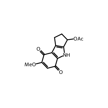 COC1=CC(=O)c2[nH]c3c(c2C1=O)CCC3OC(C)=O